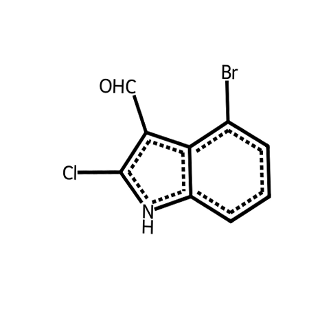 O=Cc1c(Cl)[nH]c2cccc(Br)c12